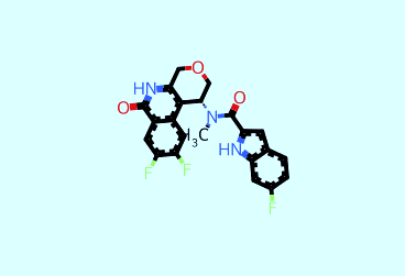 CN(C(=O)c1cc2ccc(F)cc2[nH]1)[C@H]1COCc2[nH]c(=O)c3cc(F)c(F)cc3c21